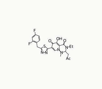 CCN1C(=O)c2c(O)c(=O)c(-c3nnc(Cc4ccc(F)cc4F)s3)cn2N(C)C1CC(C)=O